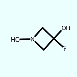 ON1CC(O)(F)C1